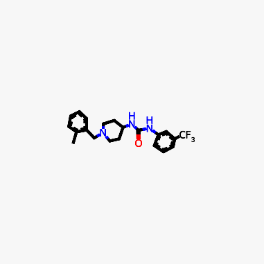 Cc1ccccc1CN1CCC(NC(=O)Nc2cccc(C(F)(F)F)c2)CC1